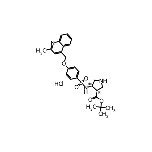 Cc1cc(COc2ccc(S(=O)(=O)N[C@H]3CNC[C@H]3C(=O)OC(C)(C)C)cc2)c2ccccc2n1.Cl